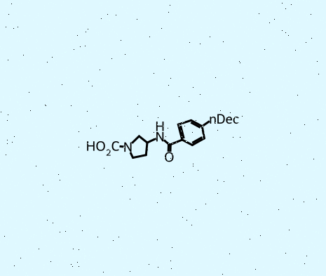 CCCCCCCCCCc1ccc(C(=O)NC2CCN(C(=O)O)C2)cc1